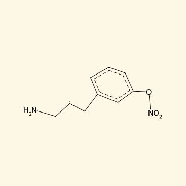 NC[CH]Cc1cccc(O[N+](=O)[O-])c1